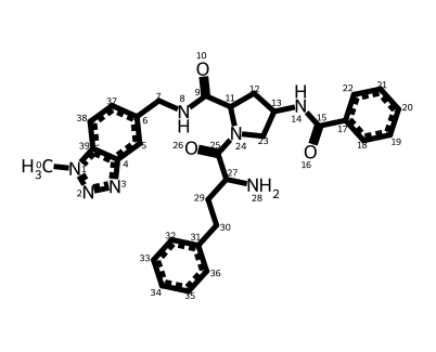 Cn1nnc2cc(CNC(=O)C3CC(NC(=O)c4ccccc4)CN3C(=O)C(N)CCc3ccccc3)ccc21